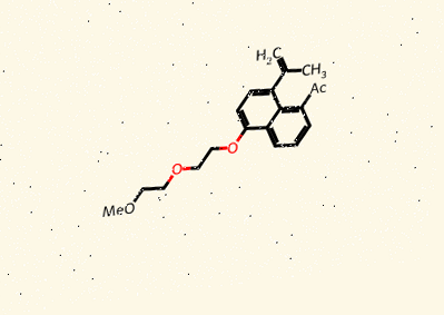 C=C(C)c1ccc(OCCOCCOC)c2cccc(C(C)=O)c12